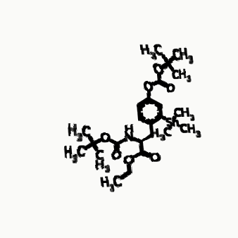 CCOC(=O)[C@H](Cc1ccc(OC(=O)OC(C)(C)C)c[c]1[Sn]([CH3])([CH3])[CH3])NC(=O)OC(C)(C)C